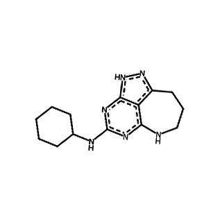 C1CCC(Nc2nc3c4c(n[nH]c4n2)CCCN3)CC1